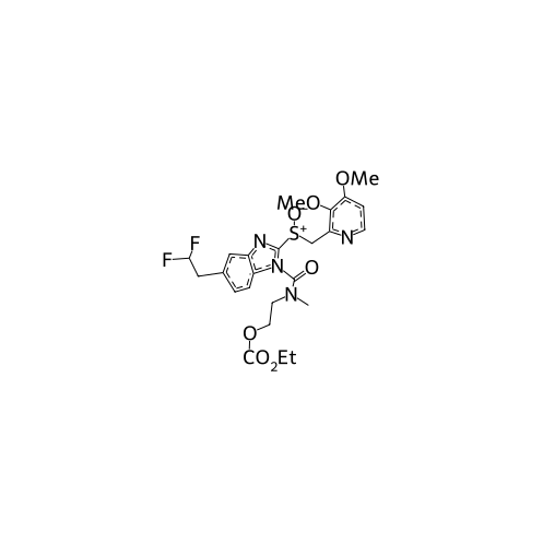 CCOC(=O)OCCN(C)C(=O)n1c([S+]([O-])Cc2nccc(OC)c2OC)nc2cc(CC(F)F)ccc21